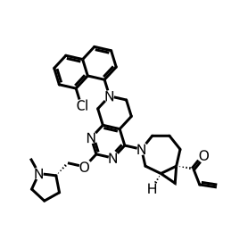 C=CC(=O)[C@@]12CCCN(c3nc(OC[C@@H]4CCCN4C)nc4c3CCN(c3cccc5cccc(Cl)c35)C4)C[C@@H]1C2